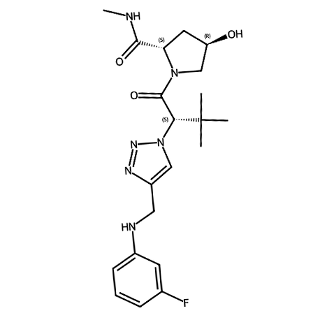 CNC(=O)[C@@H]1C[C@@H](O)CN1C(=O)[C@@H](n1cc(CNc2cccc(F)c2)nn1)C(C)(C)C